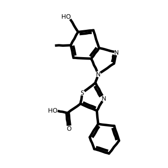 Cc1cc2c(cc1O)ncn2-c1nc(-c2ccccc2)c(C(=O)O)s1